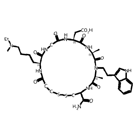 CCN(C)CCCC[C@@H]1NC(=O)CCSSCC(C(N)=O)NC(=O)[C@H](C)N(CCc2c[nH]c3ccccc23)C(=O)[C@H](C)NC(=O)[C@H](CC(=O)O)NC(=O)CNC1=O